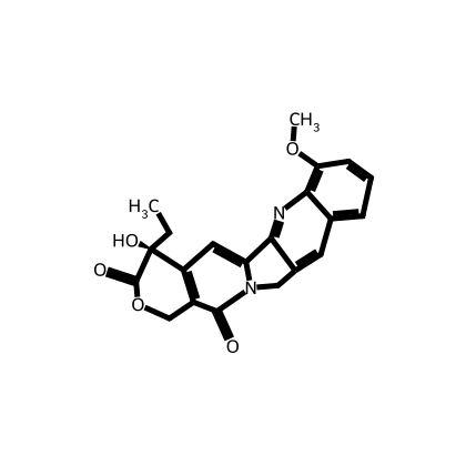 CC[C@@]1(O)C(=O)OCc2c1cc1n(c2=O)Cc2cc3cccc(OC)c3nc2-1